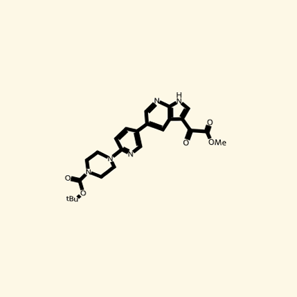 COC(=O)C(=O)c1c[nH]c2ncc(-c3ccc(N4CCN(C(=O)OC(C)(C)C)CC4)nc3)cc12